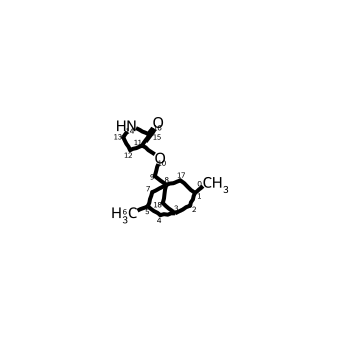 CC1CC2CC(C)CC(COC3CCNC3=O)(C1)C2